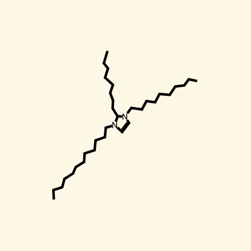 CCCCCCCCCCCCN1C=CN(CCCCCCCCCC)C1CCCCCCCC